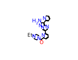 CCN1CCN(C(=O)c2cccc(-c3cnc4c(-c5ccccn5)c(N)nn4c3)n2)CC1